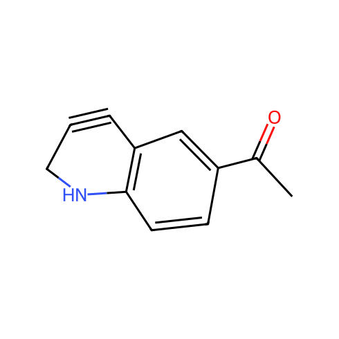 CC(=O)c1ccc2c(c1)C#CCN2